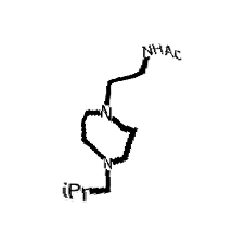 CC(=O)NCCN1CCN(CC(C)C)CC1